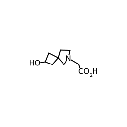 O=C(O)CN1CCC2(CC(O)C2)C1